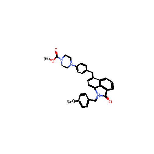 COc1ccc(CN2C(=O)c3cccc4c(Cc5ccc(N6CCN(C(=O)OC(C)(C)C)CC6)cc5)ccc2c34)cc1